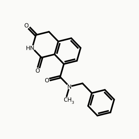 CN(Cc1ccccc1)C(=O)c1cccc2c1C(=O)NC(=O)C2